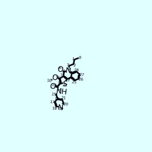 CCCCn1c(=O)c2c(OC)c(C(=O)NCc3ccncc3)sc2c2ccccc21